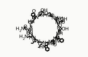 CCCC[C@H]1C(=O)N(C)[C@@H](CCCC)C(=O)N[C@@H](CCCN)C(=O)N[C@H](C(=O)NCC(N)=O)CSCC(=O)N[C@@H](Cc2ccc(OC)cc2)C(=O)N(C)[C@@H](C)C(=O)N[C@@H](CC(=O)O)C(=O)N2CCC[C@H]2C(=O)N[C@@H](CN)C(=O)N[C@@H](CCC(=O)O)C(=O)N2C[C@H](O)C[C@H]2C(=O)N[C@@H](Cc2c[nH]c3ccccc23)C(=O)NC(CC(=O)O)C(=O)N[C@@H](Cc2c[nH]c3ccccc23)C(=O)N1C